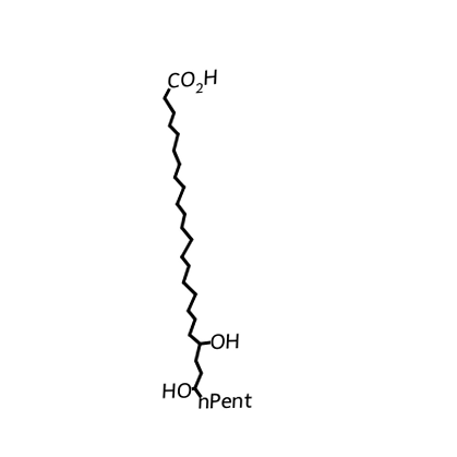 CCCCCC(O)CCC(O)CCCCCCCCCCCCCCCCCCCC(=O)O